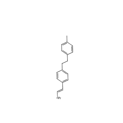 CCCC=Cc1ccc(CCc2ccc(C)cc2)cc1